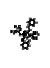 CC[C@H](C)CNC(=O)[C@@H](CC1CCCCC1)N(C(=N)N)C(=O)CCc1ccccc1